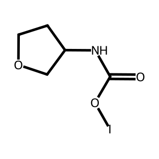 O=C(NC1CCOC1)OI